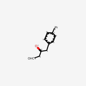 CC(C)c1ccc(CC(=O)CC=O)cc1